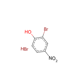 Br.O=[N+]([O-])c1ccc(O)c(Br)c1